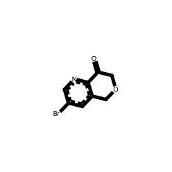 O=C1COCc2cc(Br)cnc21